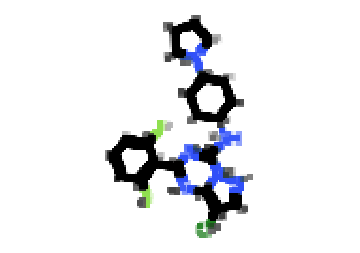 Fc1cccc(F)c1-c1nc(N[C@H]2CC[C@H](N3CCCC3)CC2)n2ncc(Cl)c2n1